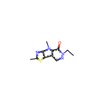 CCn1ncc2c3sc(C)nc3n(C)c2c1=O